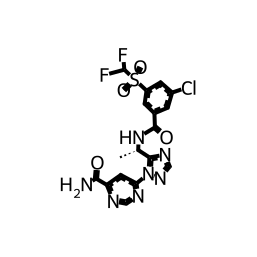 C[C@H](NC(=O)c1cc(Cl)cc(S(=O)(=O)C(F)F)c1)c1ncnn1-c1cc(C(N)=O)ncn1